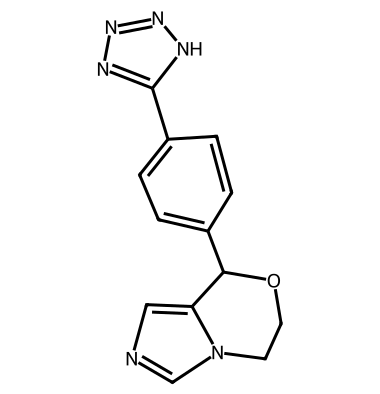 c1cc(C2OCCn3cncc32)ccc1-c1nnn[nH]1